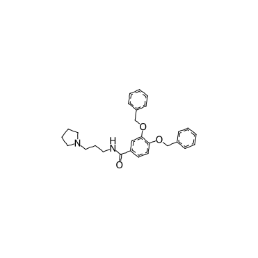 O=C(NCCCN1CCCC1)c1ccc(OCc2ccccc2)c(OCc2ccccc2)c1